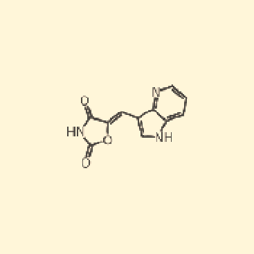 O=C1NC(=O)/C(=C/c2c[nH]c3cccnc23)O1